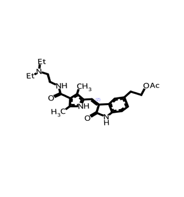 CCN(CC)CCNC(=O)c1c(C)[nH]c(/C=C2\C(=O)Nc3ccc(CCOC(C)=O)cc32)c1C